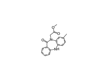 COC(=O)CN1C(=O)c2ccccc2Nc2ccc(C)cc21